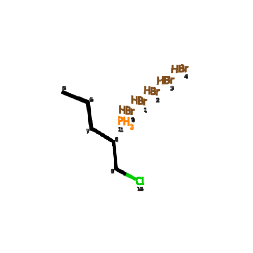 Br.Br.Br.Br.Br.CCCCCCl.P